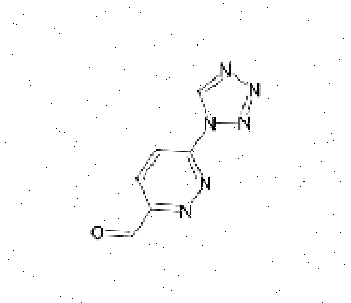 O=Cc1ccc(-n2cnnn2)nn1